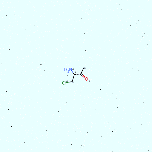 CC(=O)C(N)CCl